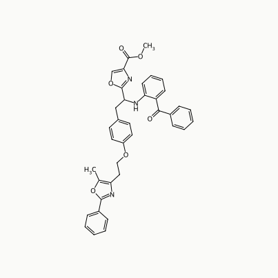 COC(=O)c1coc(C(Cc2ccc(OCCc3nc(-c4ccccc4)oc3C)cc2)Nc2ccccc2C(=O)c2ccccc2)n1